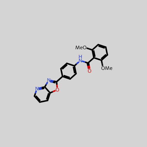 COc1cccc(OC)c1C(=O)Nc1ccc(-c2nc3ncccc3o2)cc1